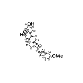 COc1ccc2cn(CC(=O)[C@H]3CCC4[C@@H]5C[C@H]6OC[C@@]7(CC[C@](C)(O)CC67)C5CC[C@@]43C)nc2c1